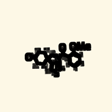 COc1ccccc1C(=O)NCC1(c2ccsc2)CCC(=O)CC1